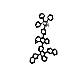 C1=CCCC(c2c(C3C=CC=CC3)nc(-c3ccc(-c4c5c(c(-c6ccc7c(C8C=c9ccccc9=CC8)c8ccccc8c(-c8ccc9ccccc9c8)c7c6)c6ccccc46)C4CC4C=C5)cc3)n2-c2ccccc2)=C1